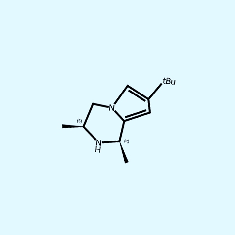 C[C@H]1Cn2cc(C(C)(C)C)cc2[C@@H](C)N1